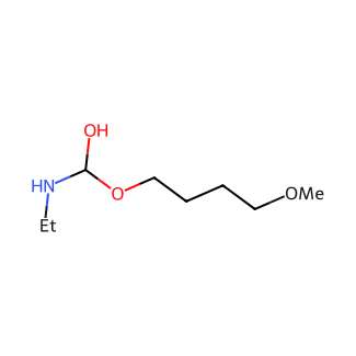 CCNC(O)OCCCCOC